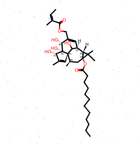 C/C=C(/C)C(=O)OCC1=C[C@@H]2C(O)[C@]3(C=C(C)[C@H](O)[C@@]3(O)[C@@H]1O)[C@H](C)C[C@]1(OC(=O)CCCCCCCCCCC)[C@H]2C1(C)C